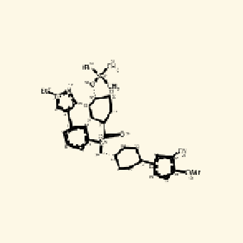 CCn1cc(-c2cccc(N(C[C@H]3CC[C@H](c4ccc(OC)c(C#N)c4)CC3)C(=O)[C@H]3CC[C@H](O[Si](C)(C)C(C)(C)C)CC3)c2)cn1